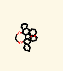 c1ccc(-c2cc3ccccc3c3c2-c2c(-c4ccccc4)cc4ccccc4c2OCCCO3)cc1